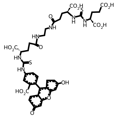 O=C(O)CC[C@H](NC(=S)N[C@@H](CCC(=O)NCCNC(=O)CC[C@H](NC(=S)Nc1ccc(-c2c3ccc(=O)cc-3oc3cc(O)ccc23)c(C(=O)O)c1)C(=O)O)C(=O)O)C(=O)O